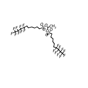 CC(OS(=O)(=O)CCCCCCC(F)(F)C(F)(F)C(F)(F)C(F)(F)F)OS(=O)(=O)CCCCCCC(F)(F)C(F)(F)C(F)(F)C(F)(F)F